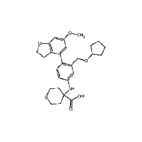 COc1cc2c(c(-c3ccc(NC4(C(=O)O)CCOCC4)cc3COC3CCCC3)c1)CCO2